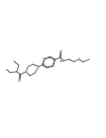 CCSCCNC(=O)c1ccc(N2CCN(C(=O)C(CC)CC)CC2)nc1